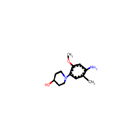 COc1cc(N)c(C)cc1N1CCC(O)CC1